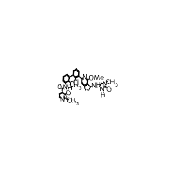 COc1nc(-c2cccc(-c3cccc(NC(=O)c4ccnn(C)c4=O)c3C)c2Cl)cc2c1[C@@H](NC[C@@H]1CN(C)C(=O)N1)CC2